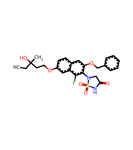 CC(O)(CC#N)CCOc1ccc2cc(OCc3ccccc3)c(N3CC(=O)NS3(=O)=O)c(F)c2c1